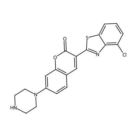 O=c1oc2cc(N3CCNCC3)ccc2cc1-c1nc2c(Cl)cccc2s1